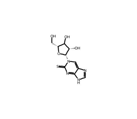 OC[C@H]1O[C@@H](n2cc3nc[nH]c3nc2=S)[C@@H](O)C1O